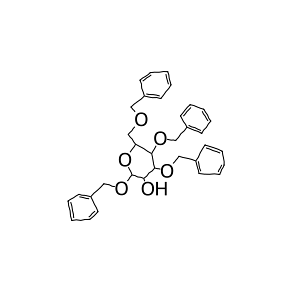 OC1C(OCc2ccccc2)OC(COCc2ccccc2)C(OCc2ccccc2)C1OCc1ccccc1